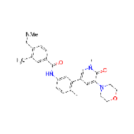 CNCc1ccc(C(=O)Nc2ccc(C)c(-c3cc(N4CCOCC4)c(=O)n(C)c3)c2)cc1C(F)(F)F